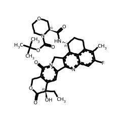 CC[C@]1(O)C(=O)OCc2c1cc1n(c2=O)Cc2c-1nc1cc(F)c(C)c3c1c2[C@H](NC(=O)[C@@H]1COCCN1C(=O)OC(C)(C)C)CC3